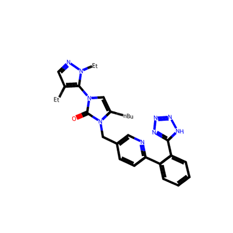 CCCCc1cn(-c2c(CC)cnn2CC)c(=O)n1Cc1ccc(-c2ccccc2-c2nnn[nH]2)nc1